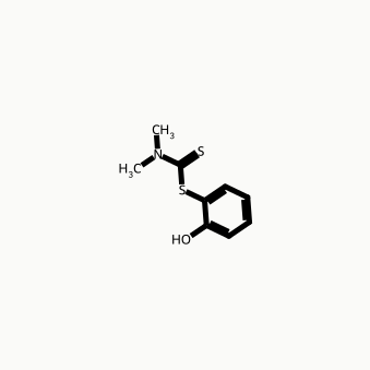 CN(C)C(=S)Sc1ccccc1O